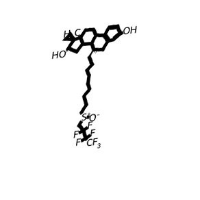 C[C@]12CCC3c4ccc(O)cc4C[C@@H](CCCCCCCCC[S+]([O-])CC(F)(F)C(F)(F)C(F)(F)F)C3C1C[C@@H](O)C21CC1